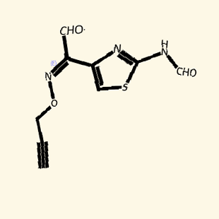 C#CCO/N=C(/[C]=O)c1csc(NC=O)n1